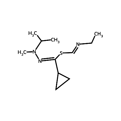 CC/N=C/S/C(=N\N(C)C(C)C)C1CC1